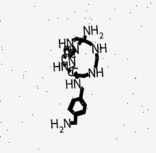 NCc1ccc(CNC23CNCCNCC(N)(CNCCNC2)CNCCNC3)cc1